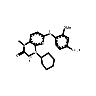 COc1cc(C(=O)O)ccc1Nc1ccc2c(n1)N(C1CCCCC1)[C@H](C)C(=O)N2C